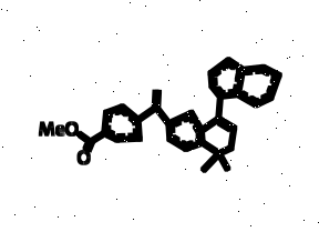 C=C(c1ccc(C(=O)OC)cc1)c1ccc2c(c1)C(c1cccc3ccccc13)=CCC2(C)C